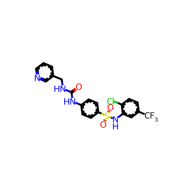 O=C(NCc1cccnc1)Nc1ccc(S(=O)(=O)Nc2cc(C(F)(F)F)ccc2Cl)cc1